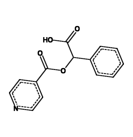 O=C(OC(C(=O)O)c1ccccc1)c1ccncc1